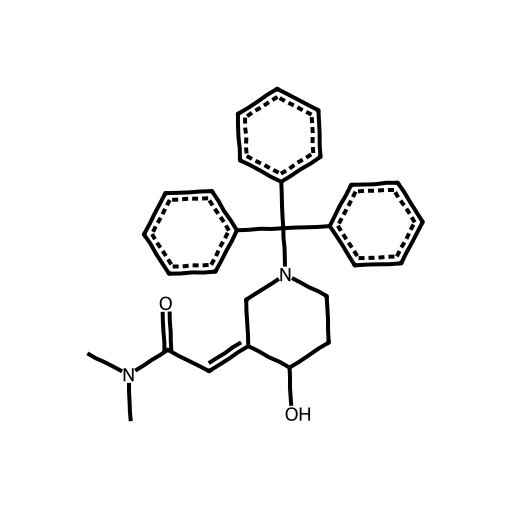 CN(C)C(=O)C=C1CN(C(c2ccccc2)(c2ccccc2)c2ccccc2)CCC1O